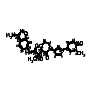 Cn1cc(-n2ccc(N3CCOC(C(C)(O)C(=O)Nc4ccc5c(N)noc5c4)C3=O)n2)ccc1=O